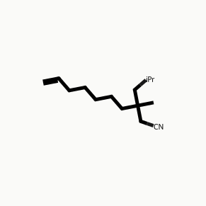 C=CCCCCCC(C)(CC#N)CC(C)C